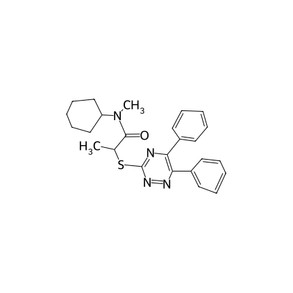 CC(Sc1nnc(-c2ccccc2)c(-c2ccccc2)n1)C(=O)N(C)C1CCCCC1